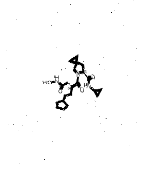 O=C(C[C@@H](CCC1CCCC1)C(=O)N1CC2(CC2)C[C@H]1C(=O)NC1CC1)NO